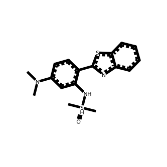 CN(C)c1ccc(-c2nc3ccccc3s2)c(N[SH](C)(C)=O)c1